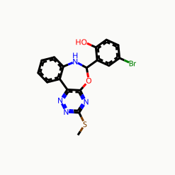 CSc1nnc2c(n1)OC(c1cc(Br)ccc1O)Nc1ccccc1-2